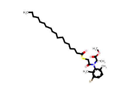 CCCCCCCCCCCCCCCCCC(=O)SCC(=O)N(c1c(C)ccc(Br)c1C)[C@@H](C)C(=O)OC